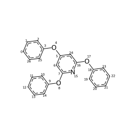 c1ccc(Oc2cc(Oc3ccccc3)nc(Oc3ccccc3)c2)cc1